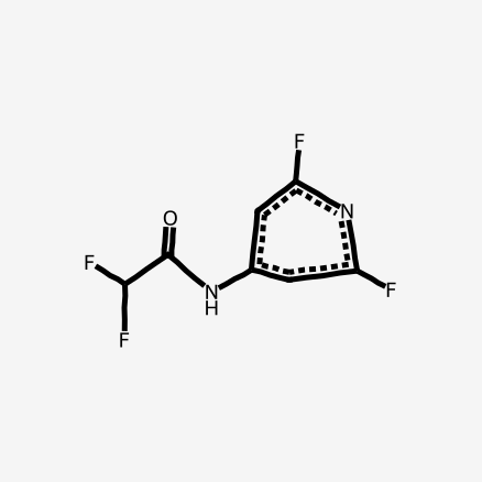 O=C(Nc1cc(F)nc(F)c1)C(F)F